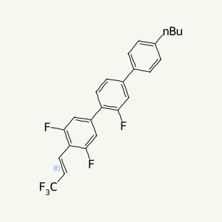 CCCCc1ccc(-c2ccc(-c3cc(F)c(/C=C/C(F)(F)F)c(F)c3)c(F)c2)cc1